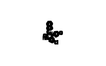 O=C1CCN(C2=NC(Cc3ccc4ccccc4c3)C(=O)Nc3ccc(Cl)cc32)CC1